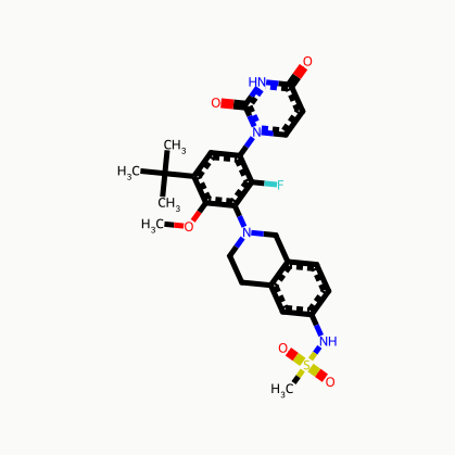 COc1c(C(C)(C)C)cc(-n2ccc(=O)[nH]c2=O)c(F)c1N1CCc2cc(NS(C)(=O)=O)ccc2C1